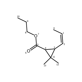 C/C=C\C1C(C(=O)OCCC)C1(C)C